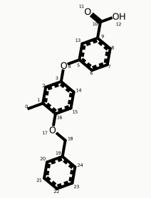 Cc1cc(Oc2cccc(C(=O)O)c2)ccc1OCc1ccccc1